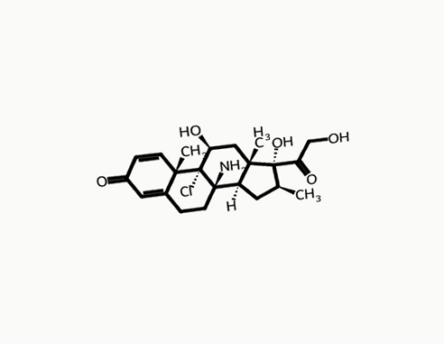 C[C@H]1C[C@@H]2[C@](C)(C[C@H](O)[C@]3(Cl)[C@@]4(C)C=CC(=O)C=C4CC[C@@]23N)[C@@]1(O)C(=O)CO